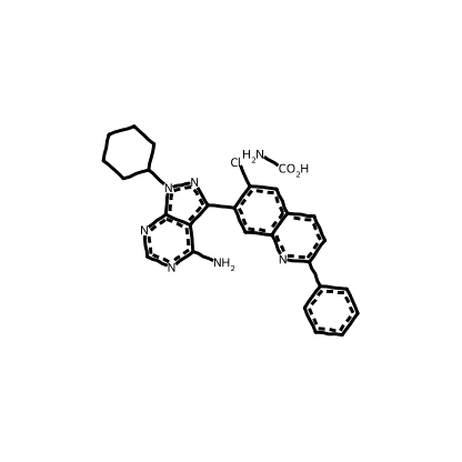 NC(=O)O.Nc1ncnc2c1c(-c1cc3nc(-c4ccccc4)ccc3cc1Cl)nn2C1CCCCC1